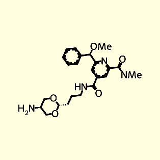 CNC(=O)c1cc(C(=O)NCCC[C@H]2OC[C@H](N)CO2)cc([C@H](OC)c2ccccc2)n1